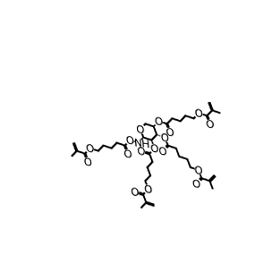 C=C(C)C(=O)OCCCCC(=O)ON[C@H]1OC[C@@H](OC(=O)CCCCOC(=O)C(=C)C)[C@H](OC(=O)CCCCOC(=O)C(=C)C)[C@H]1OC(=O)CCCCOC(=O)C(=C)C